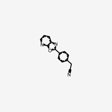 N#CCc1ccc(-c2nc3cccnc3o2)cc1